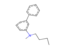 CCCCN(C)c1cccc(-c2ccccc2)c1